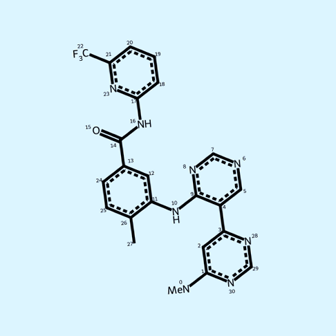 CNc1cc(-c2cncnc2Nc2cc(C(=O)Nc3cccc(C(F)(F)F)n3)ccc2C)ncn1